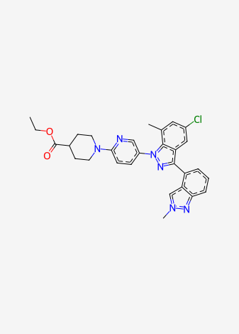 CCOC(=O)C1CCN(c2ccc(-n3nc(-c4cccc5nn(C)cc45)c4cc(Cl)cc(C)c43)cn2)CC1